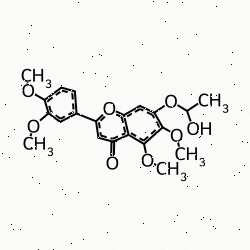 COc1ccc(-c2cc(=O)c3c(OC)c(OC)c(OC(C)O)cc3o2)cc1OC